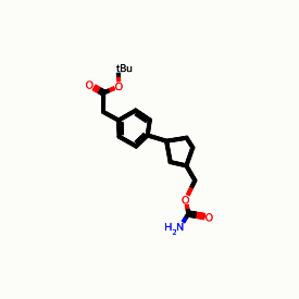 CC(C)(C)OC(=O)Cc1ccc(C2CCC(COC(N)=O)C2)cc1